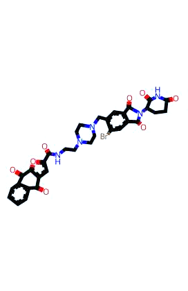 O=C1CCC(N2C(=O)c3cc(Br)c(CN4CCN(CCNC(=O)c5cc6c(o5)C(=O)c5ccccc5C6=O)CC4)cc3C2=O)C(=O)N1